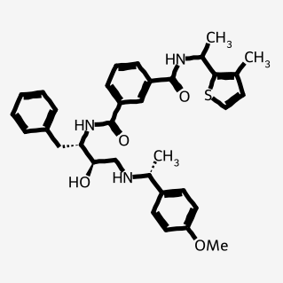 COc1ccc([C@@H](C)NC[C@@H](O)[C@H](Cc2ccccc2)NC(=O)c2cccc(C(=O)NC(C)c3sccc3C)c2)cc1